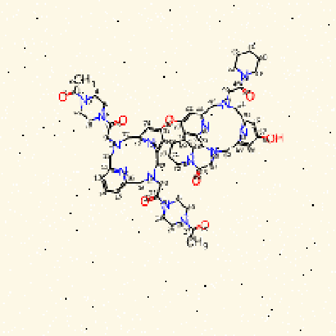 CC(=O)N1CCN(C(=O)CN2Cc3cccc(n3)CN(CC(=O)N3CCN(C(C)=O)CC3)Cc3cc(Oc4cc5nc(c4)CN(CC(=O)N4CCCCC4)Cc4cc(O)cc(n4)CN(CC(=O)N4CCCCC4)C5)cc(n3)C2)CC1